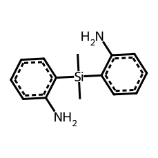 C[Si](C)(c1ccccc1N)c1ccccc1N